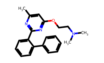 Cc1cc(OCCN(C)C)nc(-c2ccccc2-c2ccccc2)n1